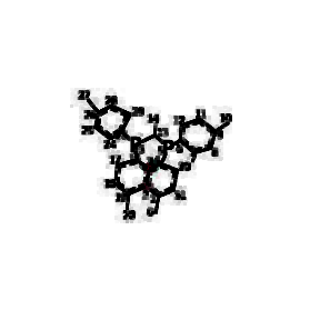 Cc1ccc(P(c2ccc(C)cc2)C(C)P(c2ccc(C)cc2)c2ccc(C)cc2)cc1